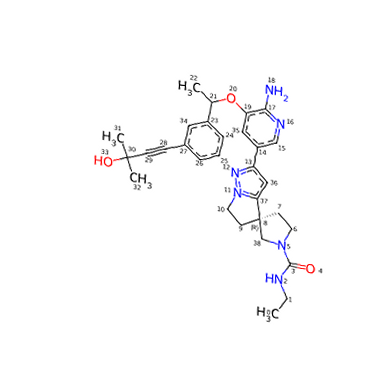 CCNC(=O)N1CC[C@@]2(CCn3nc(-c4cnc(N)c(OC(C)c5cccc(C#CC(C)(C)O)c5)c4)cc32)C1